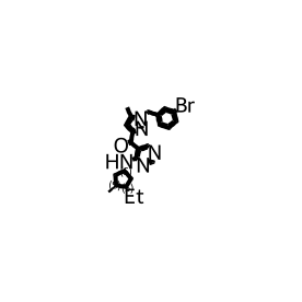 CC[C@H]1C[C@@H](Nc2ncncc2C(=O)c2cc(C)n(Cc3cccc(Br)c3)n2)C[C@@H]1C